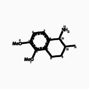 COc1ccc2c(c1OC)CCC(C)C2N